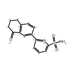 NS(=O)(=O)c1cccc(-c2ccc3c(c2)C(=O)CCC3)n1